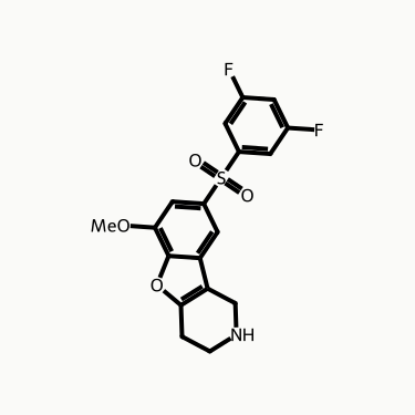 COc1cc(S(=O)(=O)c2cc(F)cc(F)c2)cc2c3c(oc12)CCNC3